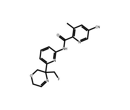 Cc1cc(C#N)cnc1C(=O)Nc1cccc(C2(CF)COCC=N2)n1